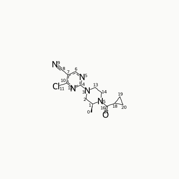 C[C@H]1CN(c2ncc(C#N)c(Cl)n2)CCN1C(=O)C1CC1